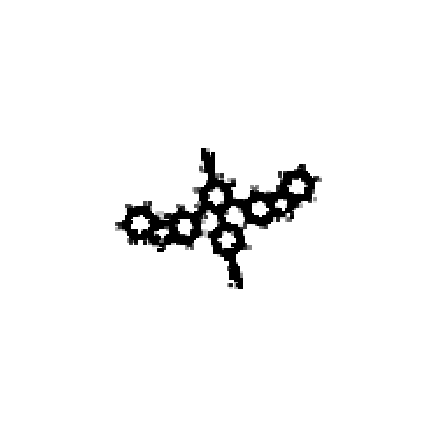 N#Cc1ccc(-c2c(-c3ccc4oc5ccccc5c4c3)cc(C#N)cc2-c2ccc3sc4ccccc4c3c2)cc1